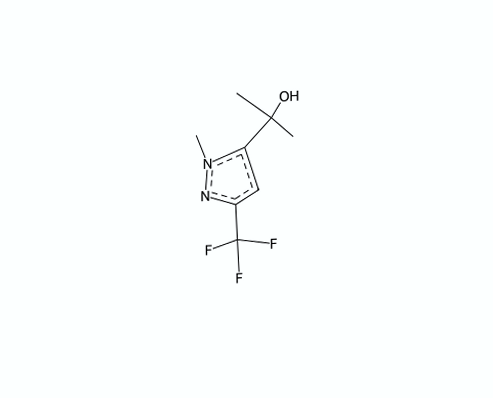 Cn1nc(C(F)(F)F)cc1C(C)(C)O